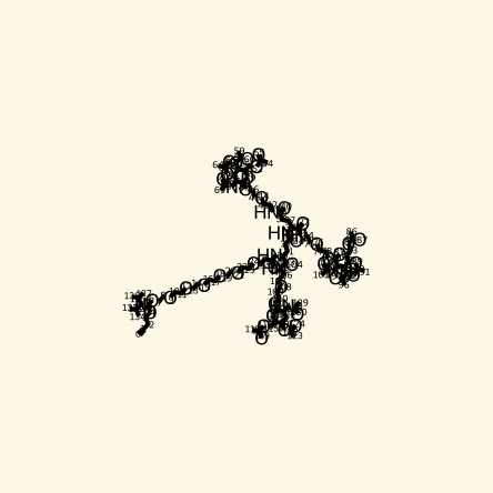 C#CCCOP(OCCOCCOCCOCCOCCOCCOCCC(=O)NC(CCC(=O)NC(CCC(=O)NCCOCCOC1OC(COC(C)=O)C(OC(C)=O)C(OC(C)=O)C1NC(C)=O)C(=O)NCCOCCOC1OC(COC(C)=O)C(OC(C)=O)C(OC(C)=O)C1NC(C)=O)C(=O)NCCOCCOC1OC(COC(C)=O)C(OC(C)=O)CC1NC(C)=O)N(C(C)C)C(C)C